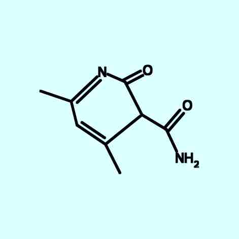 CC1=CC(C)=NC(=O)C1C(N)=O